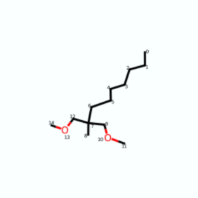 CCCCCCCC(C)(COC)COC